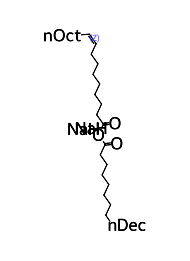 CCCCCCCC/C=C\CCCCCCCC(=O)OC(=O)CCCCCCCCCCCCCCCCC.[NaH].[NaH]